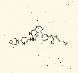 CN(C)CC=CC(=O)Nc1cccc(-c2nccc3cnc(Nc4ccc(N5CCOCC5)nc4)nc23)c1